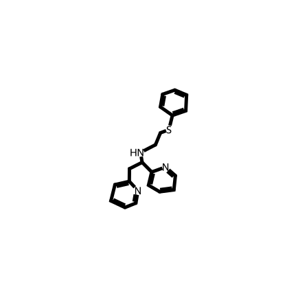 c1ccc(SCCNC(Cc2ccccn2)c2ccccn2)cc1